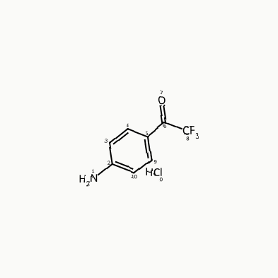 Cl.Nc1ccc(C(=O)C(F)(F)F)cc1